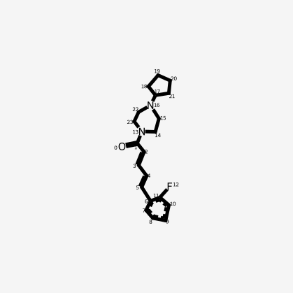 O=C(C=CC=Cc1ccccc1F)N1CCN(C2CCCC2)CC1